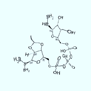 BB[C@@H]1O[C@H](COP(=O)(O)OP(=O)(O)OP(=O)(O)OC[C@H]2O[C@@H](B(B)B)[C@H]3OC(C)OC23)C(O)C1O